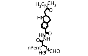 CCCCC[C@H](CN(O)C=O)C(=O)NNC(=O)c1ccc2c(c1)CCC(CC(=O)N(C)C)N2